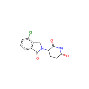 O=C1CCC(N2Cc3c(Cl)cccc3C2=O)C(=O)N1